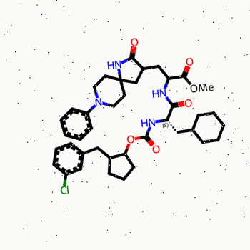 COC(=O)C(CC1CC2(CCN(c3ccccc3)CC2)NC1=O)NC(=O)[C@H](CC1CCCCC1)NC(=O)OC1CCCC1Cc1cccc(Cl)c1